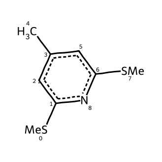 CSc1[c]c(C)cc(SC)n1